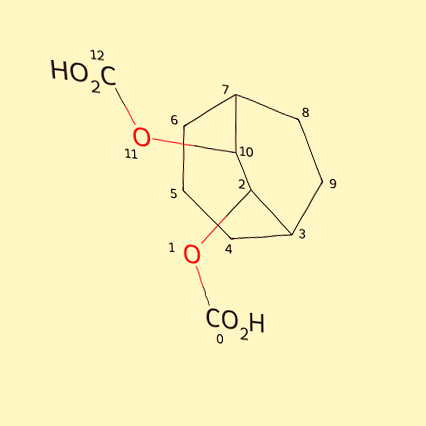 O=C(O)OC1C2CCCC(CC2)C1OC(=O)O